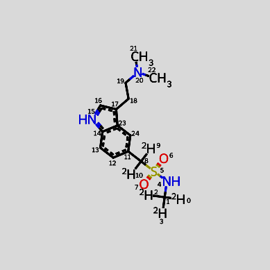 [2H]C([2H])([2H])NS(=O)(=O)C([2H])([2H])c1ccc2[nH]cc(CCN(C)C)c2c1